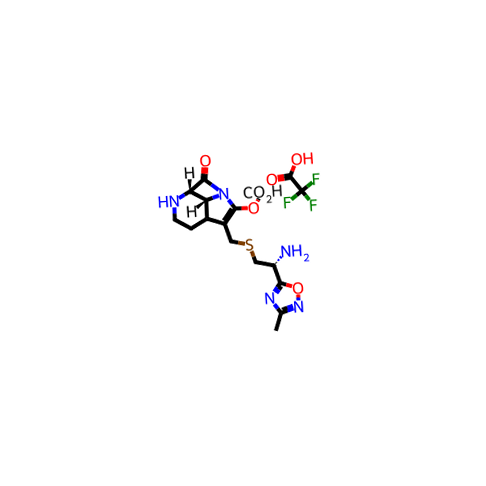 Cc1noc([C@@H](N)CSCC2=C(OC(=O)O)N3C(=O)[C@H]4NCCC2[C@H]43)n1.O=C(O)C(F)(F)F